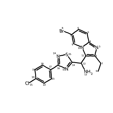 CCc1nc2ccc(Br)cn2c1C(N)c1nc(-c2ccc(Cl)cc2)ns1